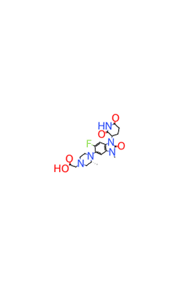 C[C@@H]1CN(CC(=O)O)CCN1c1cc2c(cc1F)n(C1CCC(=O)NC1=O)c(=O)n2C